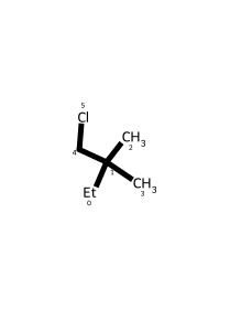 CCC(C)(C)CCl